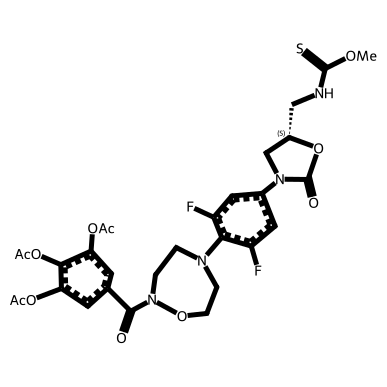 COC(=S)NC[C@H]1CN(c2cc(F)c(N3CCON(C(=O)c4cc(OC(C)=O)c(OC(C)=O)c(OC(C)=O)c4)CC3)c(F)c2)C(=O)O1